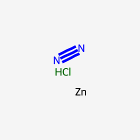 Cl.N#N.[Zn]